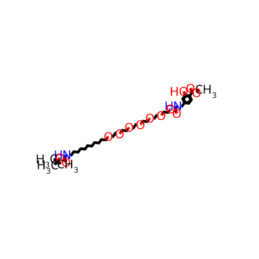 COC(=O)c1ccc(CNC(=O)OCCOCCOCCOCCOCCOCCOCCCCCCCCCCCNC(=O)OC(C)(C)C)cc1O